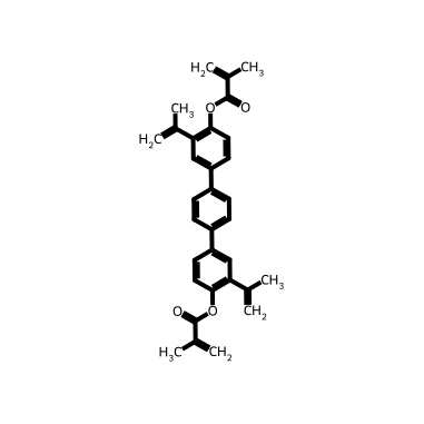 C=C(C)C(=O)Oc1ccc(-c2ccc(-c3ccc(OC(=O)C(=C)C)c(C(=C)C)c3)cc2)cc1C(=C)C